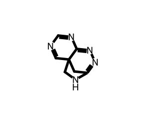 C1=NC=NC2=NN=C3CC12CN3